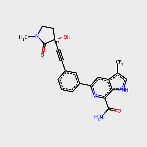 CN1CC[C@@](O)(C#Cc2cccc(-c3cc4c(C(F)(F)F)c[nH]c4c(C(N)=O)n3)c2)C1=O